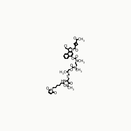 COC(=O)C(CSSC(C)COC(=O)N(C)CCN(C)C(=O)Oc1cc2c(c3ccccc13)C(CCl)CN2C(=O)C12CC(C(C)=O)(C1)C2)NC(=O)CCCCCN1C(=O)C=CC1=O